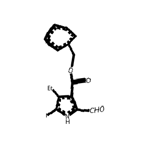 CCc1c(I)[nH]c(C=O)c1C(=O)OCc1ccccc1